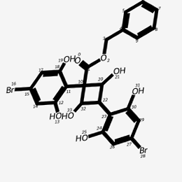 O=C(OCc1ccccc1)C1(c2c(O)cc(Br)cc2O)C(O)C(c2c(O)cc(Br)cc2O)C1O